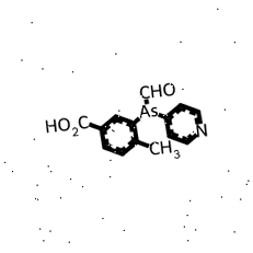 Cc1ccc(C(=O)O)cc1[As](C=O)c1ccncc1